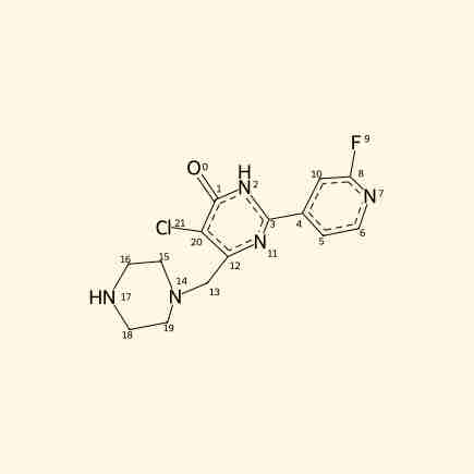 O=c1[nH]c(-c2ccnc(F)c2)nc(CN2CCNCC2)c1Cl